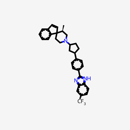 C[C@H]1CN(C2CCC(c3ccc(-c4nc5cc(C(F)(F)F)ccc5[nH]4)cc3)C2)CCC12C=Cc1ccccc12